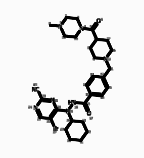 CN1CCN(C(=O)C2CCN(Cc3ccc(C(=O)NN(c4nc(C#N)ncc4Br)C4CCCCC4)cc3)CC2)CC1